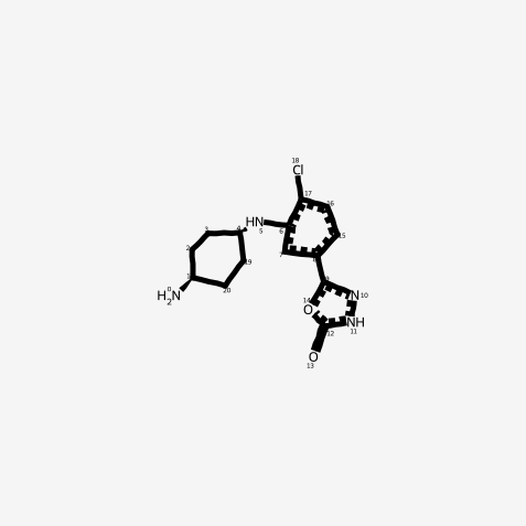 N[C@H]1CC[C@H](Nc2cc(-c3n[nH]c(=O)o3)ccc2Cl)CC1